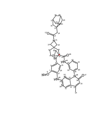 COc1cc(N2CCC3(CC2)CN(C(=O)CC24CC5CC(CC2C5)C4)C3)ccc1Nc1ncc2c(C)cc(=O)n(-c3cccc(NC(=O)C4CC4)c3)c2n1